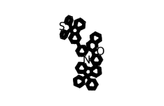 c1ccc(C2(c3ccccc3)c3ccccc3-c3c(N(c4ccc(-c5ccc6c(c5)-c5ccccc5C65c6ccccc6Sc6ccccc65)cc4)c4cccc5oc6c7ccccc7ccc6c45)cccc32)cc1